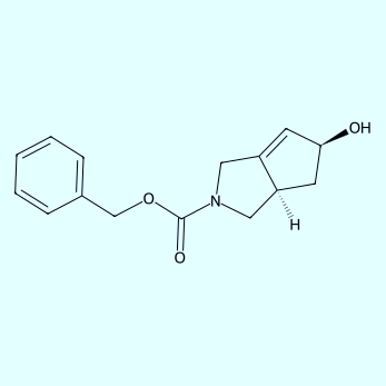 O=C(OCc1ccccc1)N1CC2=C[C@@H](O)C[C@H]2C1